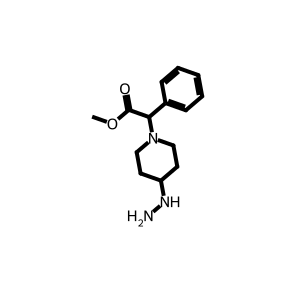 COC(=O)C(c1ccccc1)N1CCC(NN)CC1